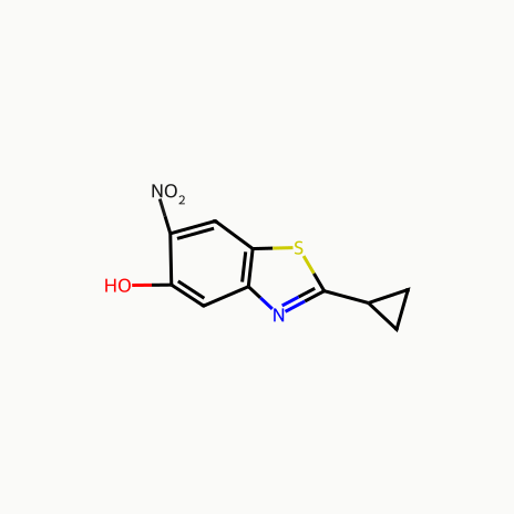 O=[N+]([O-])c1cc2sc(C3CC3)nc2cc1O